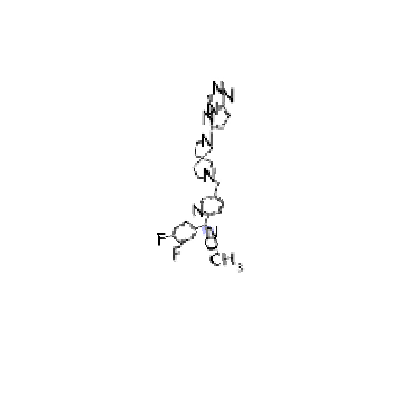 CCO/N=C(\c1ccc(F)c(F)c1)c1ccc(CN2CCC3(CCN(c4ccc5nncn5n4)C3)C2)cn1